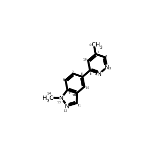 Cc1cnnc(-c2ccc3c(cnn3C)c2)c1